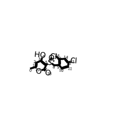 Cc1cc(O)c([S+]([O-])Cc2ccc(Cl)cc2Cl)c(=O)o1